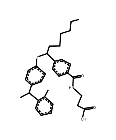 CCCCCCC(Oc1ccc(C(C)c2ccccc2C)cc1)c1ccc(C(=O)NCCC(=O)O)cc1